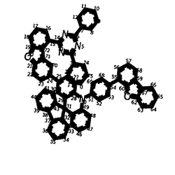 c1ccc(-c2nc(-c3ccccc3)nc(-c3cccc4oc5ccc(-c6ccc7c(c6)C6(c8ccccc8-c8ccccc86)c6ccccc6N7c6ccc(-c7cccc8c7oc7ccccc78)cc6)cc5c34)n2)cc1